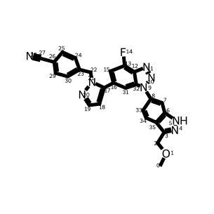 COCc1n[nH]c2cc(-n3nnc4c(F)cc(-c5ccnn5Cc5ccc(C#N)cc5)cc43)ccc12